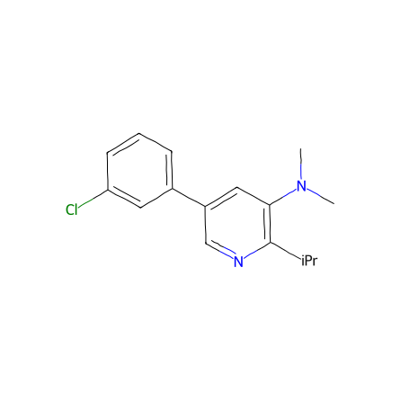 CC(C)c1ncc(-c2cccc(Cl)c2)cc1N(C)C